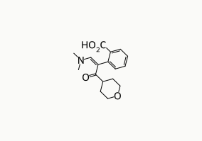 CN(C)/C=C(\C(=O)C1CCOCC1)c1ccccc1C(=O)O